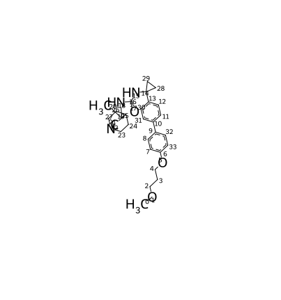 COCCCOc1ccc(-c2ccc(C3(NC(=O)NC4(C)CN5CCC4CC5)CC3)cc2)cc1